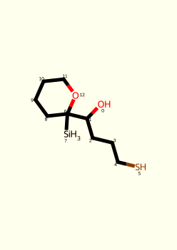 OC(CCCS)C1([SiH3])CCCCO1